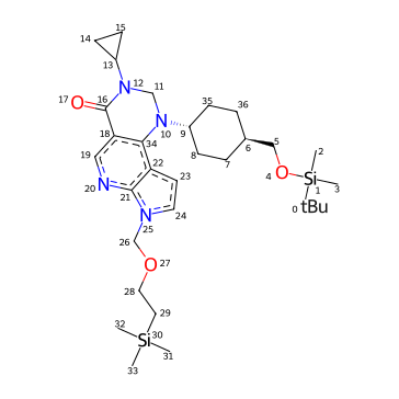 CC(C)(C)[Si](C)(C)OC[C@H]1CC[C@H](N2CN(C3CC3)C(=O)c3cnc4c(ccn4COCC[Si](C)(C)C)c32)CC1